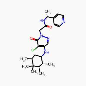 C[C@@H]1[C@@H](C)C(C)(C)[C@@H](C)C[C@H]1Nc1cnn(CC(=O)N[C@H](C)c2ccncc2)c(=O)c1Br